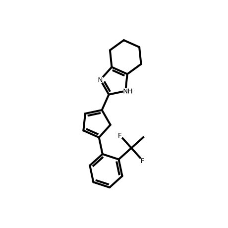 CC(F)(F)c1ccccc1C1=CC=C(c2nc3c([nH]2)CCCC3)C1